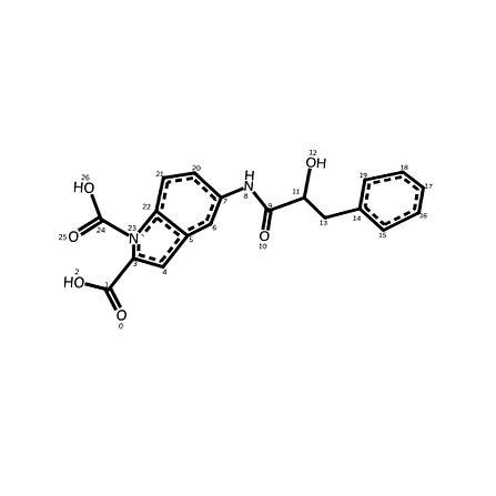 O=C(O)c1cc2cc(NC(=O)C(O)Cc3ccccc3)ccc2n1C(=O)O